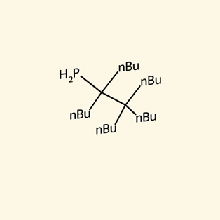 CCCCC(P)(CCCC)C(CCCC)(CCCC)CCCC